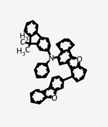 CC1(C)c2ccccc2-c2ccc(N(c3ccccc3)c3cc4c(oc5cccc(-c6ccc7c(c6)oc6ccccc67)c54)c4ccccc34)cc21